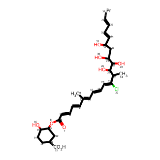 CC(/C=C/C=C/C(=O)OC1CC(C(=O)O)CCC1O)=C\C=C\C=C(/Cl)C(C)C(O)C(O)C(O)CC(O)/C=C/C=C/C(C)C